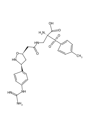 Cc1ccc(S(=O)(=O)[C@@](N)(CNC(=O)C[C@H]2C[C@@H](c3ccc(NC(=N)N)cc3)NO2)C(=O)O)cc1